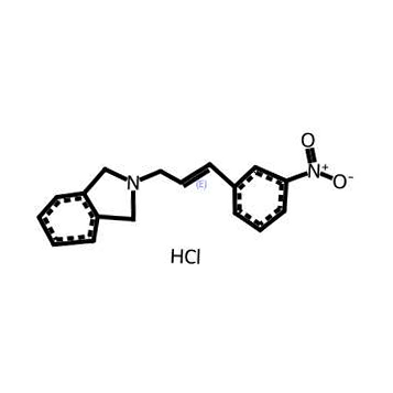 Cl.O=[N+]([O-])c1cccc(/C=C/CN2Cc3ccccc3C2)c1